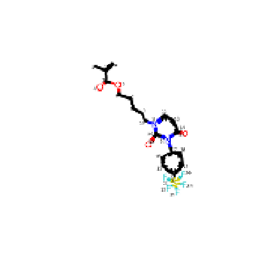 C=C(C)C(=O)OCCCCCn1ccc(=O)n(-c2ccc(S(F)(F)(F)(F)F)cc2)c1=O